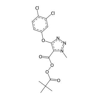 Cn1nnc(Oc2ccc(Cl)c(Cl)c2)c1C(=O)OOC(=O)C(C)(C)C